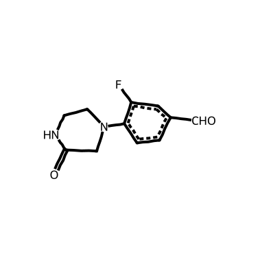 O=Cc1ccc(N2CCNC(=O)C2)c(F)c1